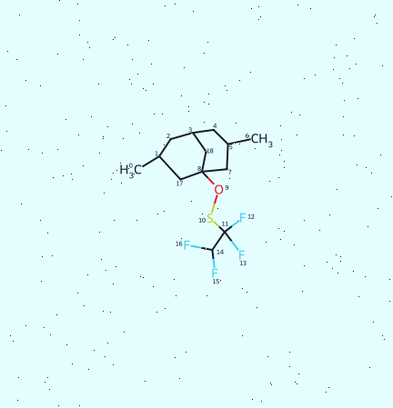 CC1CC2CC(C)CC(OSC(F)(F)C(F)F)(C1)C2